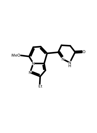 CCc1cc2c(C3=NNC(=O)CC3)ccc(OC)n2n1